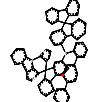 c1ccc(-c2ccc(-c3ccccc3N(c3ccc4c(c3)C3(c5ccccc5-4)c4ccccc4-n4c5ccccc5c5cccc3c54)c3cccc4c3-c3ccccc3C43c4ccccc4-c4ccccc43)cc2)cc1